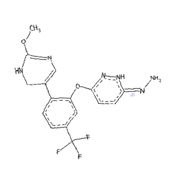 COC1=NC=C(c2ccc(C(F)(F)F)cc2Oc2cc/c(=N/N)[nH]n2)CN1